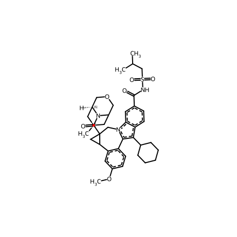 COc1ccc2c(c1)C1CC1(C(=O)N1C3COC[C@@H]1CN(C)C3)Cn1c-2c(C2CCCCC2)c2ccc(C(=O)NS(=O)(=O)CC(C)C)cc21